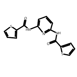 O=C(Nc1cccc(NC(=O)c2cccs2)n1)c1cccs1